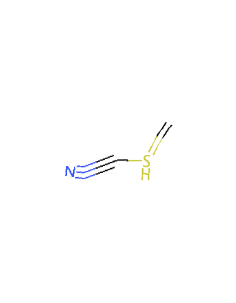 C=[SH]C#N